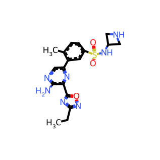 CCc1noc(-c2nc(-c3cc(S(=O)(=O)NC4CNC4)ccc3C)cnc2N)n1